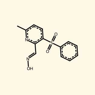 Cc1ccc(S(=O)(=O)c2ccccc2)c(C=NO)n1